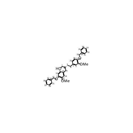 COc1cc(CC[C@@H](CO)Cc2ccc(OCc3ccccc3)c(OC)c2)ccc1OCc1ccccc1